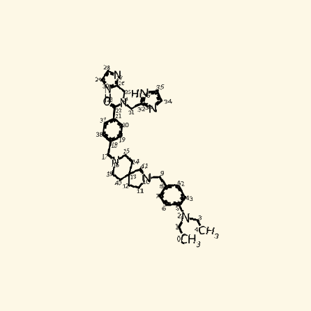 CCN(CC)c1ccc(CN2CCC3(CCN(Cc4ccc(C(=O)N(Cc5ncc[nH]5)Cc5ncc[nH]5)cc4)CC3)C2)cc1